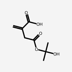 C=C(CC(=O)OC(C)(C)O)C(=O)O